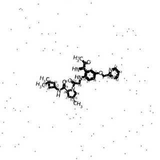 CC(=O)C(=N)c1cc(OCc2ncccn2)ccc1NCC(=O)N1C[C@H](C)C[C@H]1C(=O)NC1CC(C)(C)C1